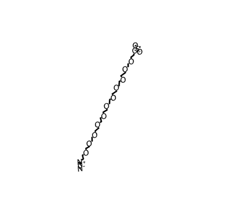 CS(=O)(=O)OCCOCCOCCOCCOCCOCCOCCOCCOCCOCCOCCOCCN=[N+]=[N-]